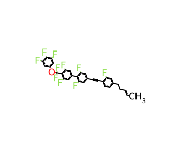 C/C=C/CCc1ccc(C#Cc2cc(F)c(-c3cc(F)c(C(F)(F)Oc4cc(F)c(F)c(F)c4)c(F)c3)c(F)c2)c(F)c1